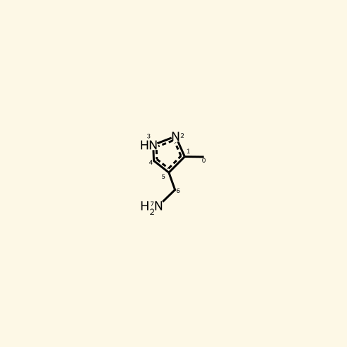 Cc1n[nH]cc1CN